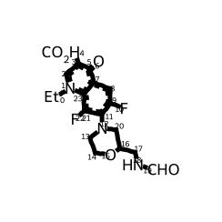 CCn1cc(C(=O)O)c(=O)c2cc(F)c(N3CCOC(CNC=O)C3)c(F)c21